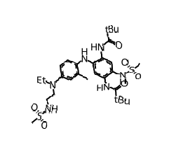 CCN(CCNS(C)(=O)=O)c1ccc(Nc2cc(NC(=O)C(C)(C)C)c(NS(C)(=O)=O)cc2NC(=O)C(C)(C)C)c(C)c1